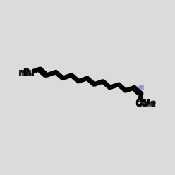 CCCCC=CCCCCCCCCCC/C=C\OC